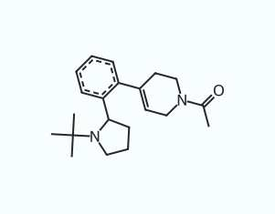 CC(=O)N1CC=C(c2ccccc2C2CCCN2C(C)(C)C)CC1